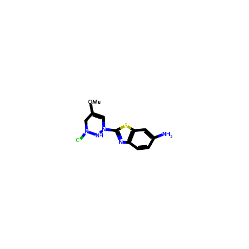 COC1=CN(c2nc3ccc(N)cc3s2)NN(Cl)C1